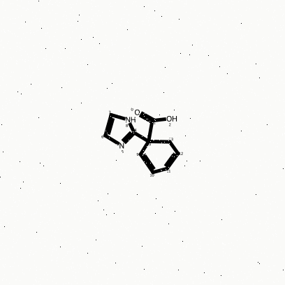 O=C(O)C1(c2ncc[nH]2)C=CC=CC1